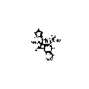 COC1(N(C(C)=O)c2cccs2)C(=O)N2C=C(COC(C)=O)C[S+]([O-])[C@@H]21.O=CO